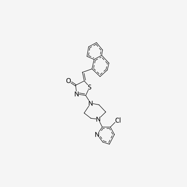 O=C1N=C(N2CCN(c3ncccc3Cl)CC2)SC1=Cc1cccc2ccccc12